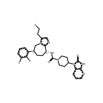 O=C(N[C@@H]1CC[C@@H](c2cccc(F)c2F)Cn2c(CCF)cnc21)N1CCC(n2c(=O)[nH]c3ncccc32)CC1